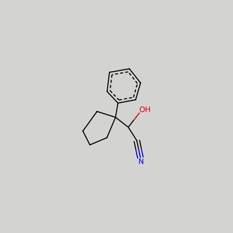 N#CC(O)C1(c2ccccc2)CCCC1